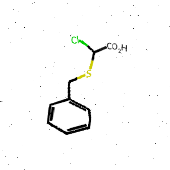 O=C(O)C(Cl)SCc1ccccc1